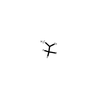 C[CH]C(C)C(F)(F)F